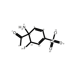 CC(=O)C1(N)C=CC(S(=O)(=O)Cl)=CC1F